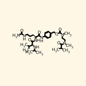 CC(C)N[C@H](C(=O)N[C@@H](CCCNC(N)=O)C(=O)Nc1ccc(COC(=O)N(C)CCN(C)C(=O)C(C)C)cc1)C(C)C